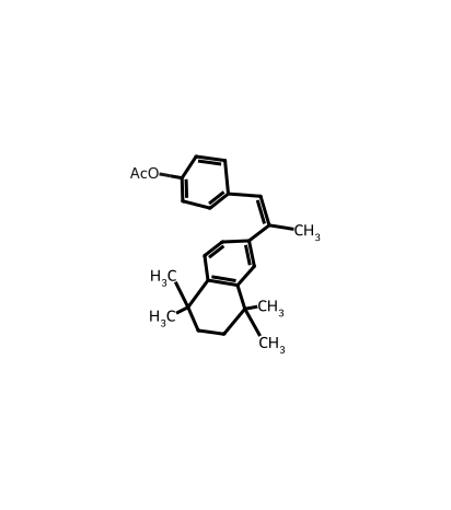 CC(=O)Oc1ccc(/C=C(/C)c2ccc3c(c2)C(C)(C)CCC3(C)C)cc1